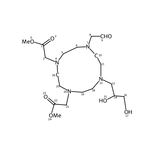 COC(=O)CN1CCN(CC=O)CCN(CC(O)CO)CCN(CC(=O)OC)CC1